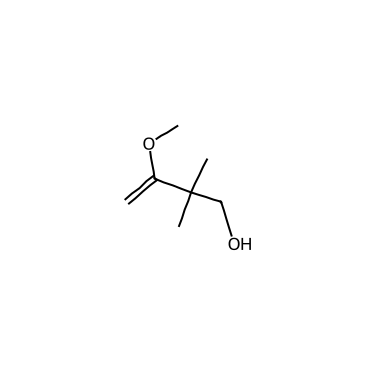 C=C(OC)C(C)(C)CO